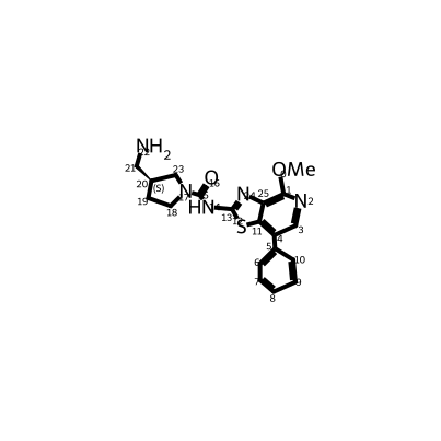 COc1ncc(-c2ccccc2)c2sc(NC(=O)N3CC[C@@H](CN)C3)nc12